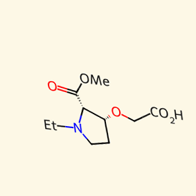 CCN1CC[C@@H](OCC(=O)O)[C@H]1C(=O)OC